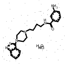 Cl.Nc1cccc(C(=O)NCCCCN2CCN(c3snc4ccccc34)CC2)c1.O